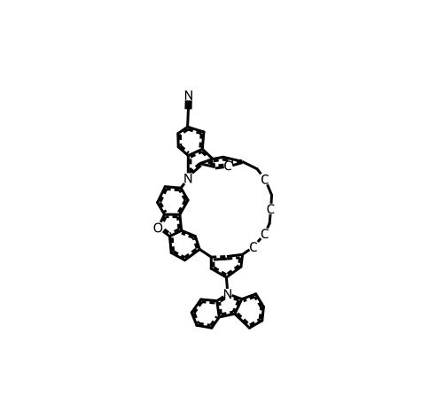 N#Cc1ccc2c(c1)c1cc3ccc1n2-c1ccc2oc4ccc(cc4c2c1)-c1cc(cc(-n2c4ccccc4c4ccccc42)c1)CCCCCCC3